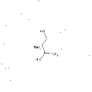 CN(C)CCO.[PbH2]